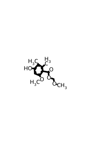 COCOC(=O)c1c(OC)cc(O)c(C)c1C